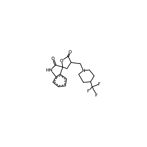 O=C1OC2(CC1CN1CCC(C(F)(F)F)CC1)C(=O)Nc1ccccc12